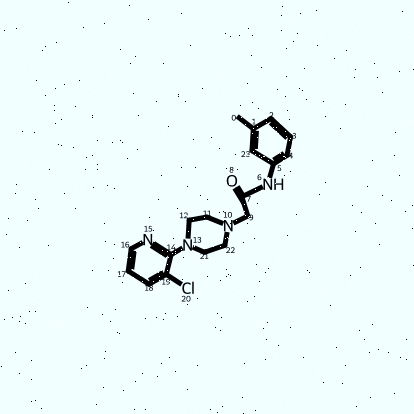 Cc1cccc(NC(=O)CN2CCN(c3ncccc3Cl)CC2)c1